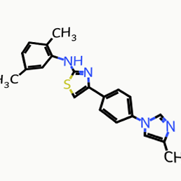 Cc1ccc(C)c(Nc2nc(-c3ccc(-n4cnc(C)c4)cc3)cs2)c1